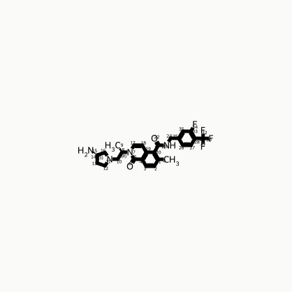 Cc1ccc2c(=O)n([C@H](C)CN3CC[C@H](N)C3)ccc2c1C(=O)NCc1ccc(C(F)(F)F)c(F)c1